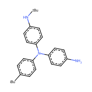 CCC(C)c1ccc(N(c2ccc(N)cc2)c2ccc(NC(C)(C)C)cc2)cc1